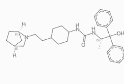 C[C@H](NC(=O)NC1CCC(CCN2C[C@H]3CC[C@@H]2C3)CC1)C(O)(c1ccccc1)c1ccccc1